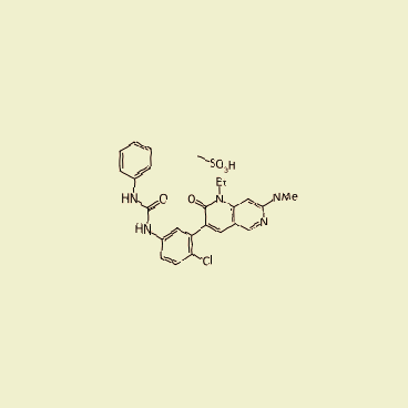 CCn1c(=O)c(-c2cc(NC(=O)Nc3ccccc3)ccc2Cl)cc2cnc(NC)cc21.CS(=O)(=O)O